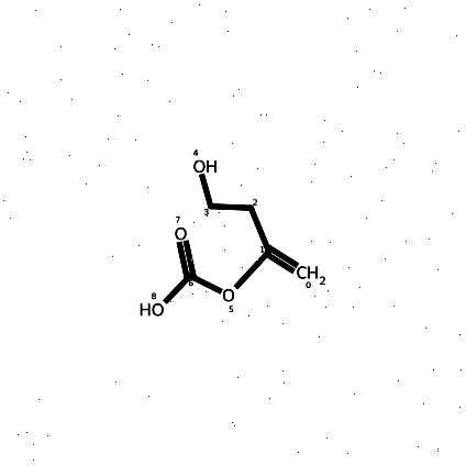 C=C(CCO)OC(=O)O